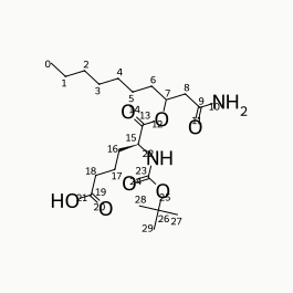 CCCCCCCC(CC(N)=O)OC(=O)[C@H](CCCC(=O)O)NC(=O)OC(C)(C)C